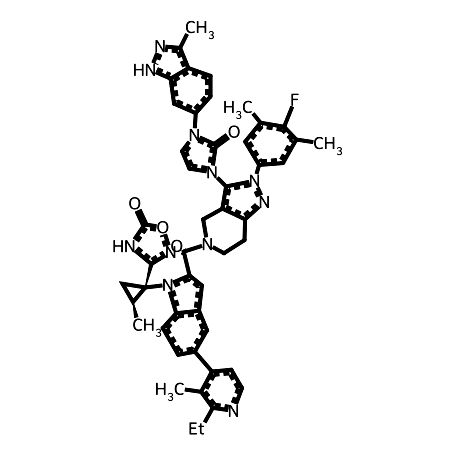 CCc1nccc(-c2ccc3c(c2)cc(C(=O)N2CCc4nn(-c5cc(C)c(F)c(C)c5)c(-n5ccn(-c6ccc7c(C)n[nH]c7c6)c5=O)c4C2)n3[C@@]2(c3noc(=O)[nH]3)C[C@@H]2C)c1C